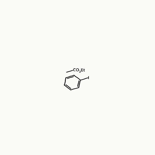 CCOC(C)=O.Ic1ccccc1